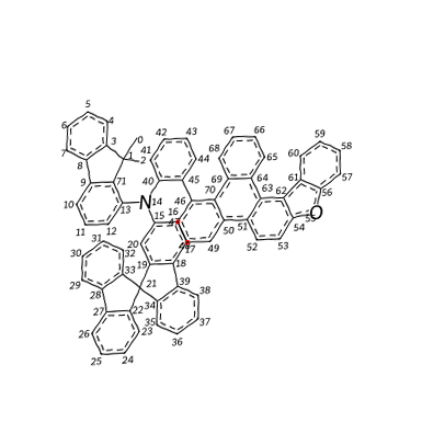 CC1(C)c2ccccc2-c2cccc(N(c3ccc4c(c3)C3(c5ccccc5-c5ccccc53)c3ccccc3-4)c3ccccc3-c3cccc4c5ccc6oc7ccccc7c6c5c5ccccc5c34)c21